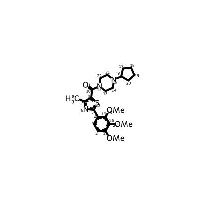 COc1ccc(-c2nc(C)c(C(=O)N3CCN(C4CCCC4)CC3)s2)c(OC)c1OC